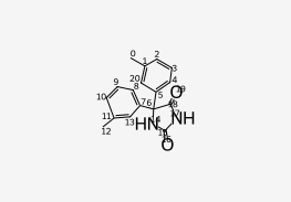 Cc1cccc(C2(c3cccc(C)c3)NC(=O)NC2=O)c1